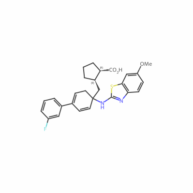 COc1ccc2nc(NC3(C[C@H]4CCC[C@H]4C(=O)O)C=CC(c4cccc(F)c4)=CC3)sc2c1